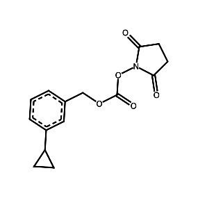 O=C(OCc1cccc(C2CC2)c1)ON1C(=O)CCC1=O